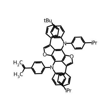 C=C(C)c1ccc(N(c2ccc(C(C)C)cc2)c2c3occ(-c4ccccc4)c3c(N(c3ccc(C(C)C)cc3)c3ccc(C(C)(C)C)cc3)c3occ(-c4ccccc4)c23)cc1